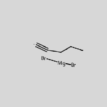 [Br][Mg][Br].[C]#CCCC